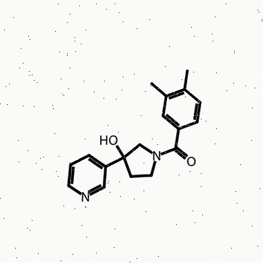 Cc1ccc(C(=O)N2CCC(O)(c3cccnc3)C2)cc1C